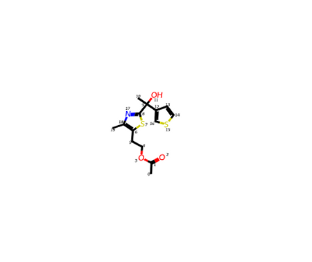 CC(=O)OCCc1sc(C(C)(O)c2ccsc2)nc1C